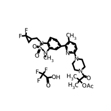 CC(=O)OC(C)(C)C(=O)N1CCN(c2ccc(C)c(-c3ccc4c(c3)N(C)S(=O)(=O)N4CC3CC3(F)F)n2)CC1.O=C(O)C(F)(F)F